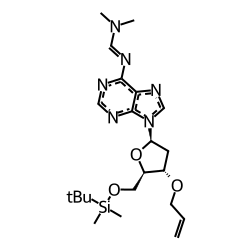 C=CCO[C@H]1C[C@H](n2cnc3c(N=CN(C)C)ncnc32)O[C@@H]1CO[Si](C)(C)C(C)(C)C